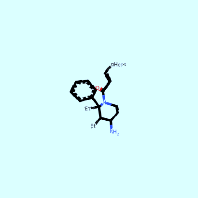 CCCCCCC/C=C/C(=O)N1CCC(N)C(CC)C1(CC)c1ccccc1